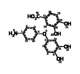 Nc1ccc(Oc2ccc(O)c(O)c2)cc1.O=C(O)c1ccc(O)c(O)c1